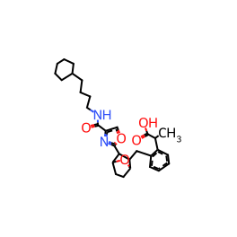 CC(C(=O)O)c1ccccc1CC1C2CCC(O2)C1c1nc(C(=O)NCCCCC2CCCCC2)co1